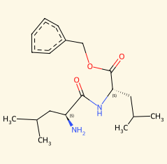 CC(C)C[C@H](NC(=O)[C@@H](N)CC(C)C)C(=O)OCc1ccccc1